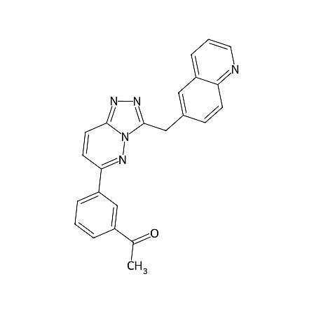 CC(=O)c1cccc(-c2ccc3nnc(Cc4ccc5ncccc5c4)n3n2)c1